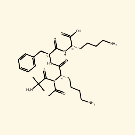 CC(=O)N(C(=O)C(C)(C)N)[C@@H](CCCCN)C(=O)N[C@@H](Cc1ccccc1)C(=O)N[C@@H](CCCCN)C(=O)O